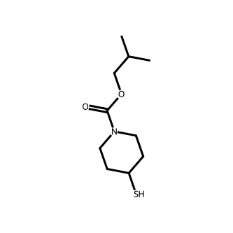 CC(C)COC(=O)N1CCC(S)CC1